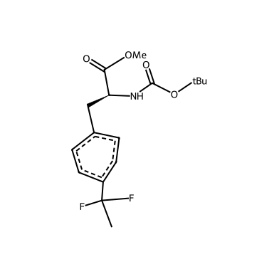 COC(=O)[C@H](Cc1ccc(C(C)(F)F)cc1)NC(=O)OC(C)(C)C